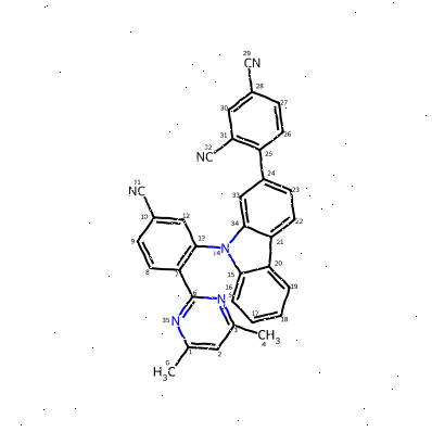 Cc1cc(C)nc(-c2ccc(C#N)cc2-n2c3ccccc3c3ccc(-c4ccc(C#N)cc4C#N)cc32)n1